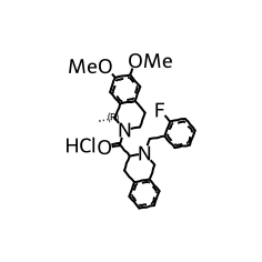 COc1cc2c(cc1OC)[C@@H](C)N(C(=O)C1Cc3ccccc3CN1Cc1ccccc1F)CC2.Cl